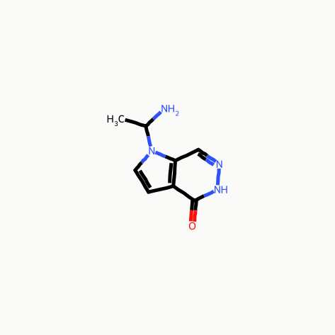 CC(N)n1ccc2c(=O)[nH]ncc21